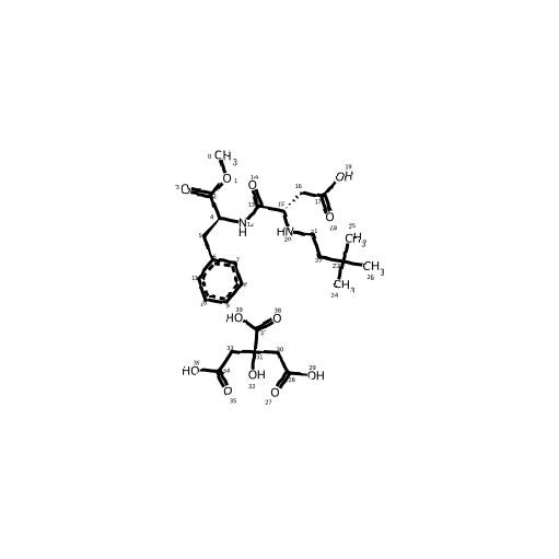 COC(=O)[C@H](Cc1ccccc1)NC(=O)[C@H](CC(=O)O)NCCC(C)(C)C.O=C(O)CC(O)(CC(=O)O)C(=O)O